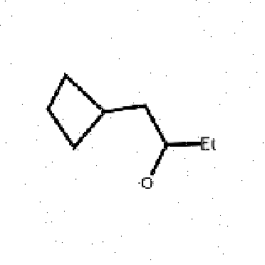 CCC([O])CC1CCC1